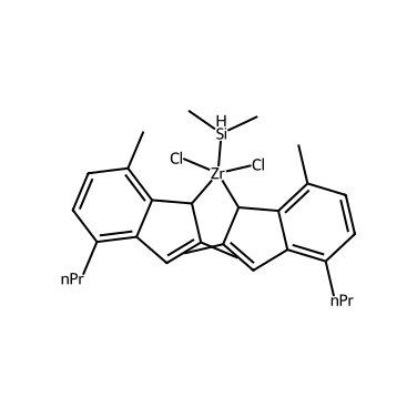 CCCc1ccc(C)c2c1C=C(C)[CH]2[Zr]([Cl])([Cl])([CH]1C(C)=Cc2c(CCC)ccc(C)c21)[SiH](C)C